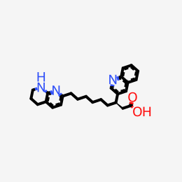 O=C(O)C[C@@H](CCCCCCc1ccc2c(n1)NCCC2)c1cnc2ccccc2c1